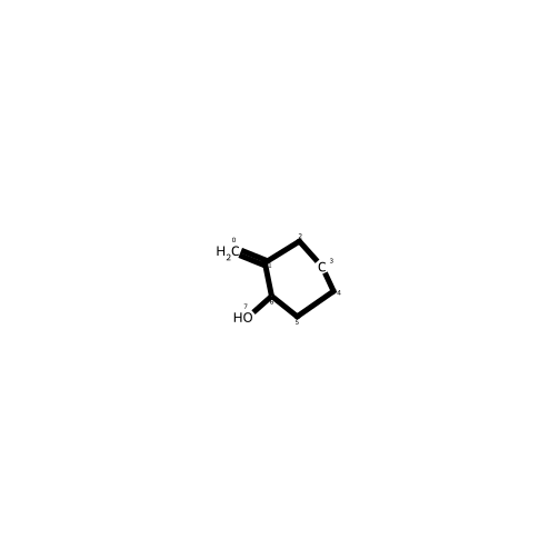 C=C1CCCCC1O